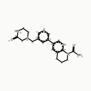 NC(=O)N1CCCc2cc(-c3cncc(CN4CCNC(=O)C4)c3)cnc21